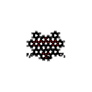 CC(C)(C)c1cc2c3c(c1)N(c1c(-c4ccccc4)cc(C(F)(F)F)cc1-c1ccccc1)c1cc(N(c4ccccc4)c4ccccc4)cc(-c4ccccc4)c1B3c1c(-c3ccccc3)cc(N(c3ccccc3)c3ccccc3)cc1N2c1c(-c2ccccc2)cc(C(F)(F)F)cc1-c1ccccc1